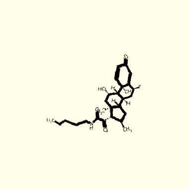 CCCCCNC(=O)C(=O)[C@H]1[C@H](C)C[C@H]2[C@@H]3C[C@H](F)C4=CC(=O)C=C[C@]4(C)[C@H]3[C@@H](O)C[C@@]21C